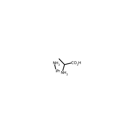 CC(C)N.CC(N)C(=O)O